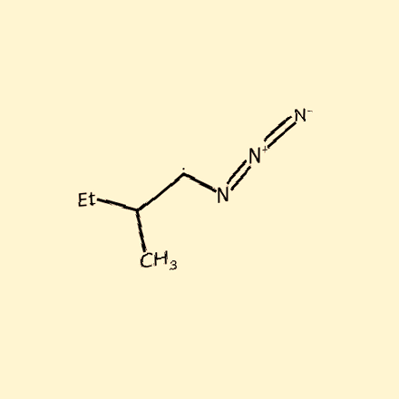 CCC(C)[CH]N=[N+]=[N-]